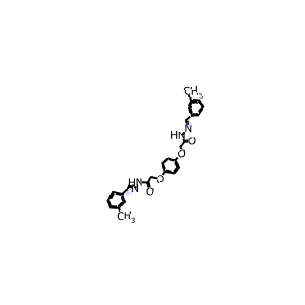 Cc1cccc(/C=N/NC(=O)COc2ccc(OCC(=O)N/N=C/c3cccc(C)c3)cc2)c1